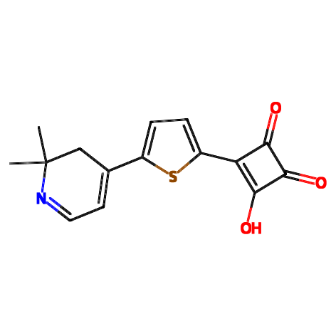 CC1(C)CC(c2ccc(-c3c(O)c(=O)c3=O)s2)=CC=N1